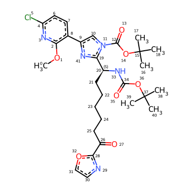 COc1nc(Cl)ccc1-c1cn(C(=O)OC(C)(C)C)c([C@H](CCCCCC(=O)c2ncco2)NC(=O)OC(C)(C)C)n1